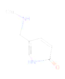 CC(C)(C)NCc1ccc(=O)[nH]c1